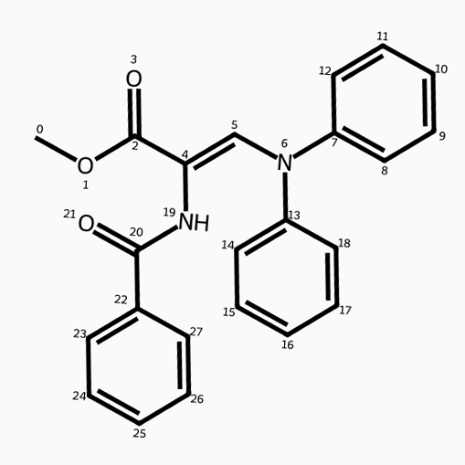 COC(=O)C(=CN(c1ccccc1)c1ccccc1)NC(=O)c1ccccc1